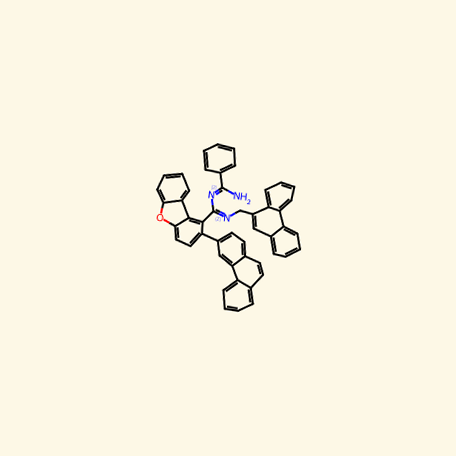 N/C(=N\C(=N/Cc1cc2ccccc2c2ccccc12)c1c(-c2ccc3ccc4ccccc4c3c2)ccc2oc3ccccc3c12)c1ccccc1